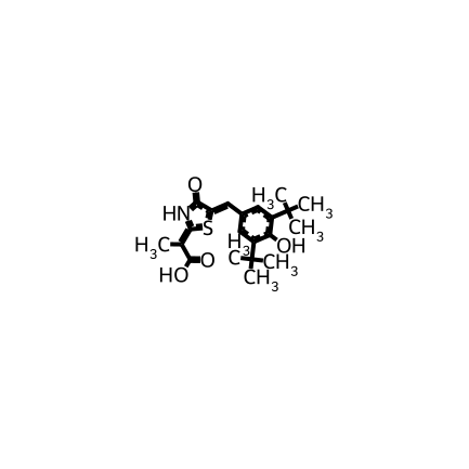 C/C(C(=O)O)=c1\[nH]c(=O)/c(=C/c2cc(C(C)(C)C)c(O)c(C(C)(C)C)c2)s1